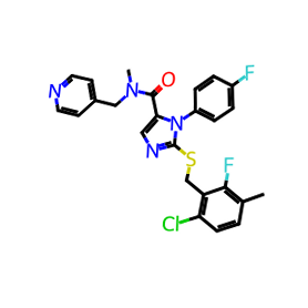 Cc1ccc(Cl)c(CSc2ncc(C(=O)N(C)Cc3ccncc3)n2-c2ccc(F)cc2)c1F